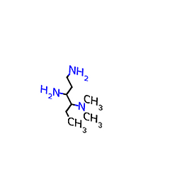 CCC(C(N)CCN)N(C)C